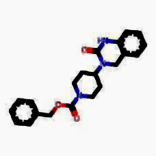 O=C(OCc1ccccc1)N1CCC(N2Cc3ccccc3NC2=O)CC1